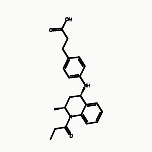 CCC(=O)N1c2ccccc2[C@H](Nc2ccc(CCC(=O)O)cc2)C[C@@H]1C